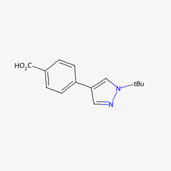 CC(C)(C)n1cc(-c2ccc(C(=O)O)cc2)cn1